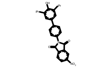 CC(C)c1cc(-c2ccc(N3C(=O)c4ccc([N+](=O)[O-])cc4C3=O)cc2)cc(C(C)C)c1O